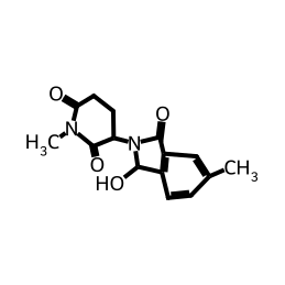 Cc1ccc2c(c1)C(=O)N(C1CCC(=O)N(C)C1=O)C2O